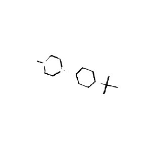 CN1CCN([C@H]2CC[C@H](C(C)(C)C)CC2)CC1